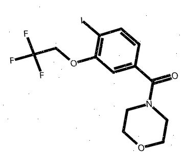 O=C(c1ccc(I)c(OCC(F)(F)F)c1)N1CCOCC1